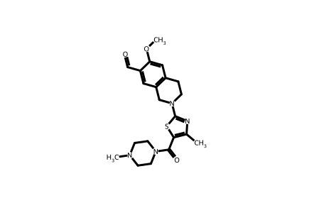 COc1cc2c(cc1C=O)CN(c1nc(C)c(C(=O)N3CCN(C)CC3)s1)CC2